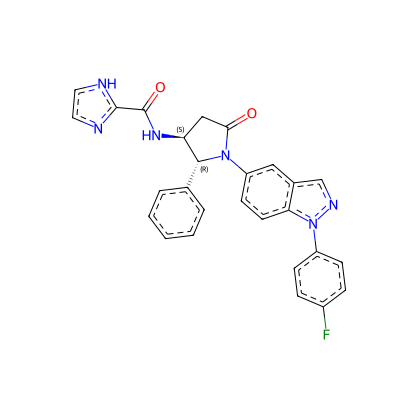 O=C(N[C@H]1CC(=O)N(c2ccc3c(cnn3-c3ccc(F)cc3)c2)[C@@H]1c1ccccc1)c1ncc[nH]1